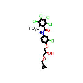 O=C(O)c1c(Cl)c(Cl)c(Cl)c(Cl)c1C(=O)Nc1ccc(OCC(O)COCC2CC2)c(Cl)c1